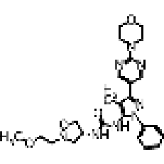 COCCN1C[C@@H](NC(=O)Nc2c(C)c(-c3cnc(N4CCOCC4)nc3)nn2-c2ccccc2)CO1